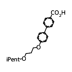 CCCC(C)OCCCOc1ccc(-c2ccc(C(=O)O)cc2)cc1